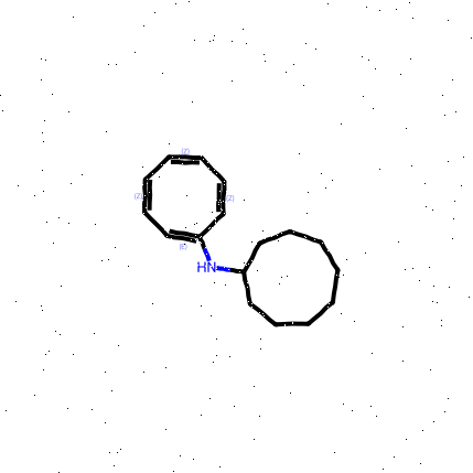 C1=C\C=C/C(NC2CCCCCCCC2)=C\C=C/1